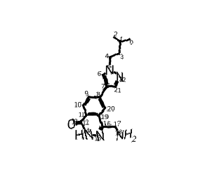 CC(C)CCn1cc(-c2ccc3c(=O)[nH]nc(CN)c3c2)cn1